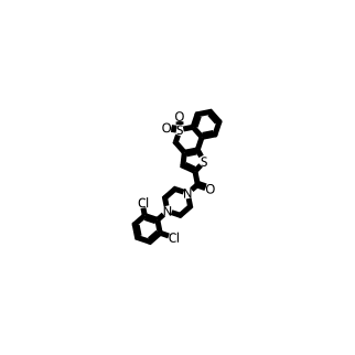 O=C(c1cc2c(s1)-c1ccccc1S(=O)(=O)C2)N1CCN(c2c(Cl)cccc2Cl)CC1